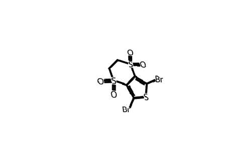 O=S1(=O)CCS(=O)(=O)c2c(Br)sc(Br)c21